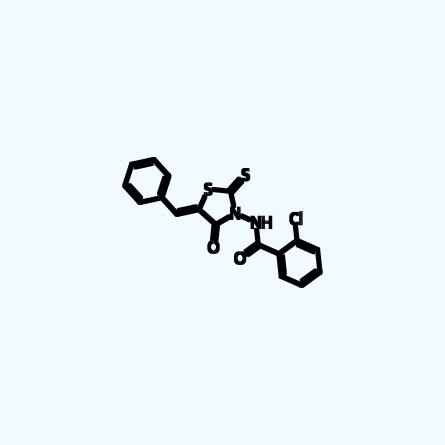 O=C(NN1C(=O)/C(=C/c2ccccc2)SC1=S)c1ccccc1Cl